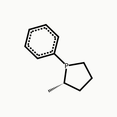 C[C@H]1CCCP1c1ccccc1